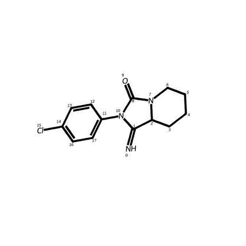 N=C1C2CCCCN2C(=O)N1c1ccc(Cl)cc1